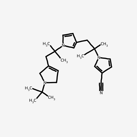 CC(C)(C)N1CC=C(CC(C)(C)n2ccc(CC(C)(C)n3ccc(C#N)c3)c2)C1